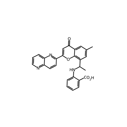 Cc1cc(C(C)Nc2ccccc2C(=O)O)c2oc(-c3ccc4ncccc4n3)cc(=O)c2c1